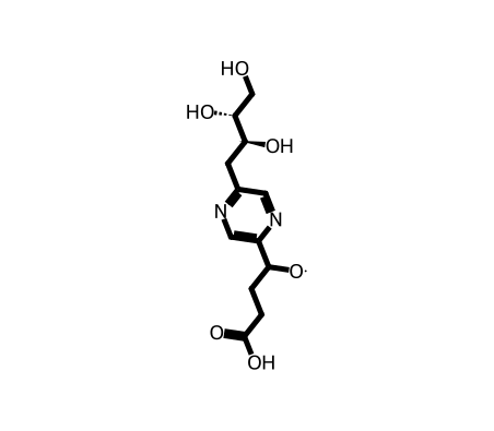 [O]C(CCC(=O)O)c1cnc(C[C@H](O)[C@H](O)CO)cn1